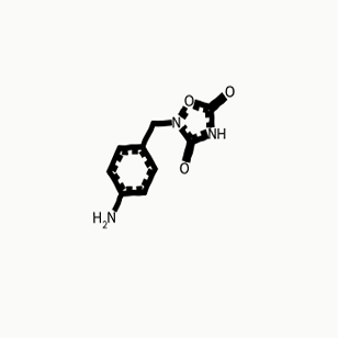 Nc1ccc(Cn2oc(=O)[nH]c2=O)cc1